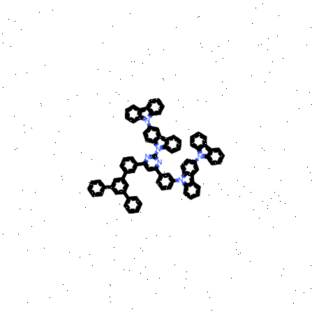 c1ccc(-c2cc(-c3ccccc3)cc(-c3cccc(-c4cc(-c5cccc(-n6c7ccccc7c7cc(-n8c9ccccc9c9ccccc98)ccc76)c5)nc(-n5c6ccccc6c6cc(-n7c8ccccc8c8ccccc87)ccc65)n4)c3)c2)cc1